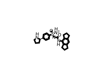 N[S@@](=O)(=NC(=O)Nc1c2c(cc3c1CCC3)CCC2)c1ccc([C@H]2CCCN2)cc1